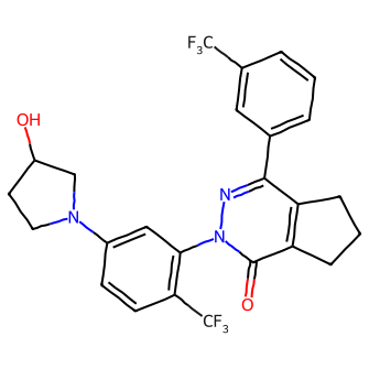 O=c1c2c(c(-c3cccc(C(F)(F)F)c3)nn1-c1cc(N3CCC(O)C3)ccc1C(F)(F)F)CCC2